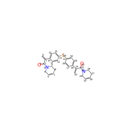 C=C(C(=O)N1CC=CCC1)c1ccc(Sc2ccc(C(=C)C(=O)N3CC=CCC3)cc2)cc1